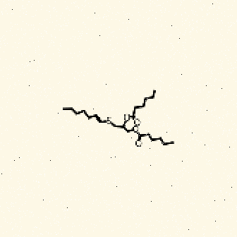 CCCCCC=CSCC(COC(=O)CCCCC)OC(=O)CCCCC